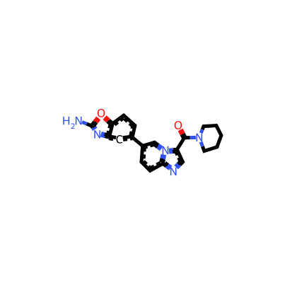 Nc1nc2cc(-c3ccc4ncc(C(=O)N5CCCCC5)n4c3)ccc2o1